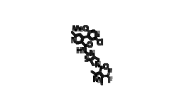 COc1cnc(Cl)cc1-c1cc(C)ncc1C(=O)Nc1nc2c(s1)CN(C(=O)c1c(C)nn(C)c1C(F)F)C2